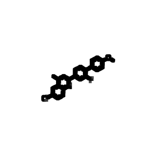 COc1ccc(-c2ccc(-c3cc(C)c4cc(Cl)ccc4n3)cc2F)cc1